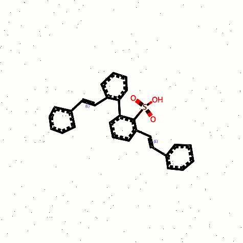 O=S(=O)(O)c1c(/C=C/c2ccccc2)cccc1-c1ccccc1/C=C/c1ccccc1